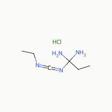 CCN=C=NC(N)(N)CC.Cl